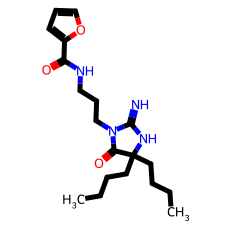 CCCCC1(CCCC)NC(=N)N(CCCNC(=O)c2ccco2)C1=O